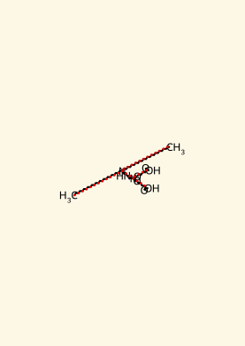 CCCCCCCCCCCCCCCCCCCCCCCCN(C=CNC=CN(COC=CCCC(=O)O)COC=CCCC(=O)O)CCCCCCCCCCCCCCCCCCCCCCCC